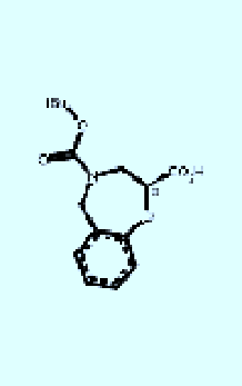 CC(C)(C)OC(=O)N1Cc2ccccc2O[C@H](C(=O)O)C1